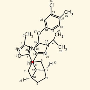 Cc1noc(N2C[C@H]3CC[C@@H](C2)C3Nc2nc(Oc3ccc(C)c(Cl)c3)n(C(C)C)n2)n1